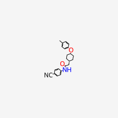 Cc1ccc(O[C@H]2CC[C@H](CC(=O)Nc3ccc(C#N)cc3)CC2)cc1